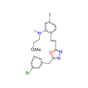 COCCN(C)c1cc(F)ccc1/C=C/c1nnc(Cc2cccc(Br)c2)o1